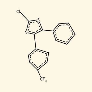 FC(F)(F)c1ccc(-c2nc(Cl)sc2-c2ccccc2)cc1